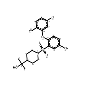 CC(C)(O)C1CCN(S(=O)(=O)c2cc(C#N)ccc2Oc2cc(Cl)ccc2Cl)CC1